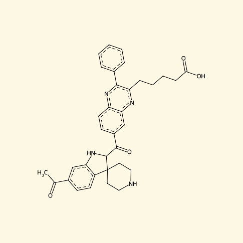 CC(=O)c1ccc2c(c1)NC(C(=O)c1ccc3nc(-c4ccccc4)c(CCCCC(=O)O)nc3c1)C21CCNCC1